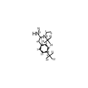 CCN(C(Cc1ccc(C(C)(C)C)cc1)NC)C(C)(C)C